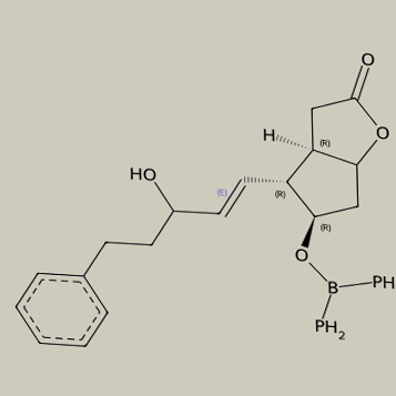 O=C1C[C@H]2C(C[C@@H](OB(P)P)[C@@H]2/C=C/C(O)CCc2ccccc2)O1